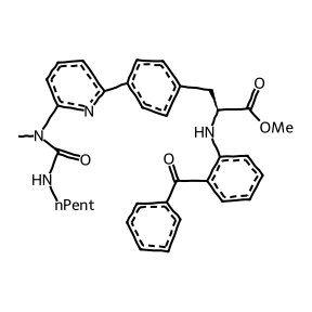 CCCCCNC(=O)N(C)c1cccc(-c2ccc(C[C@H](Nc3ccccc3C(=O)c3ccccc3)C(=O)OC)cc2)n1